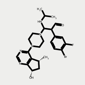 CC(C)NC(C(C=O)c1ccc(Br)c(F)c1)N1CCN(c2ncnc3c2[C@H](C)C[C@@H]3O)CC1